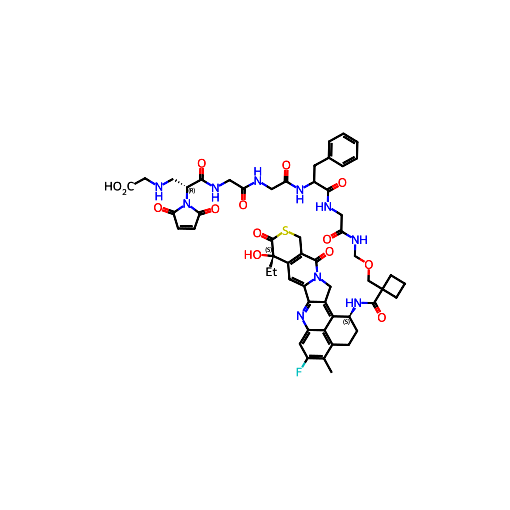 CC[C@@]1(O)C(=O)SCc2c1cc1n(c2=O)Cc2c-1nc1cc(F)c(C)c3c1c2[C@@H](NC(=O)C1(COCNC(=O)CNC(=O)C(Cc2ccccc2)NC(=O)CNC(=O)CNC(=O)[C@@H](CNCC(=O)O)N2C(=O)C=CC2=O)CCC1)CC3